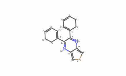 C1=CCCC(c2nc3cscc3nc2C2=CC=CCC2)=C1